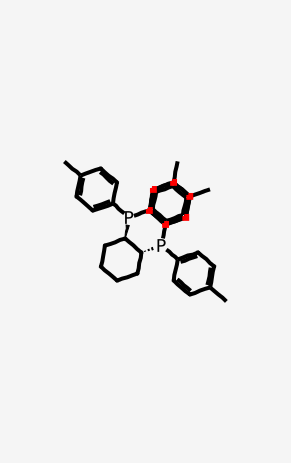 Cc1ccc(P(c2ccc(C)cc2)[C@@H]2CCCC[C@H]2P(c2ccc(C)cc2)c2ccc(C)cc2)cc1